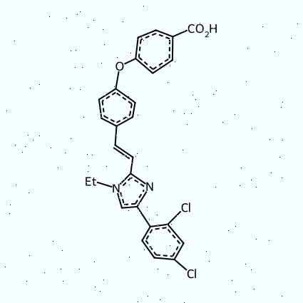 CCn1cc(-c2ccc(Cl)cc2Cl)nc1/C=C/c1ccc(Oc2ccc(C(=O)O)cc2)cc1